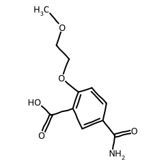 COCCOc1ccc(C(N)=O)cc1C(=O)O